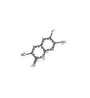 N#Cc1cc2cc(F)c(O)cc2oc1=O